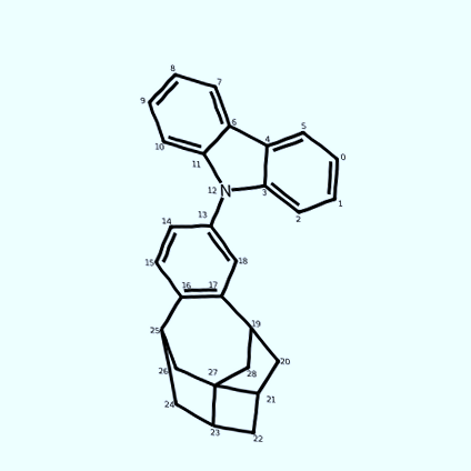 c1ccc2c(c1)c1ccccc1n2-c1ccc2c(c1)C1CC3CC4CC2CC43C1